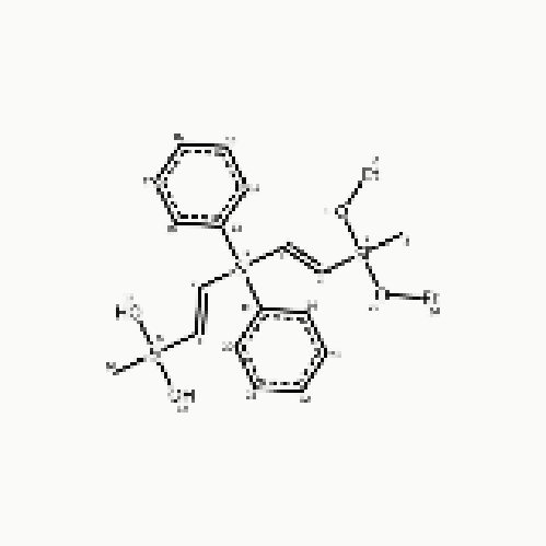 CCO[Si](C)(C=C[Si](C=C[Si](C)(O)O)(c1ccccc1)c1ccccc1)OCC